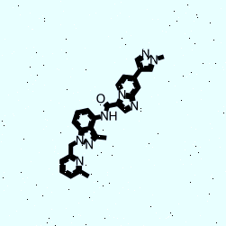 Cc1cccc(Cn2nc(C)c3c(NC(=O)c4cnc5cc(-c6cnn(C)c6)ccn45)cccc32)n1